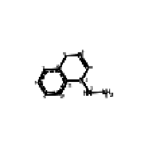 NNN1C=NCc2ccccc21